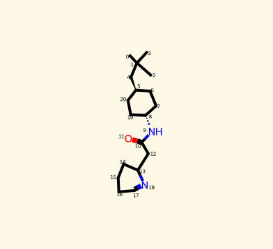 CC(C)(C)C[C@H]1CC[C@H](NC(=O)CC2CCCC=N2)CC1